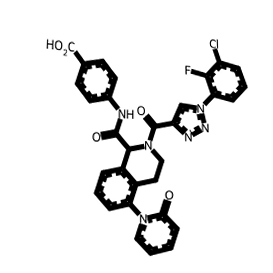 O=C(O)c1ccc(NC(=O)C2c3cccc(-n4ccccc4=O)c3CCN2C(=O)c2cn(-c3cccc(Cl)c3F)nn2)cc1